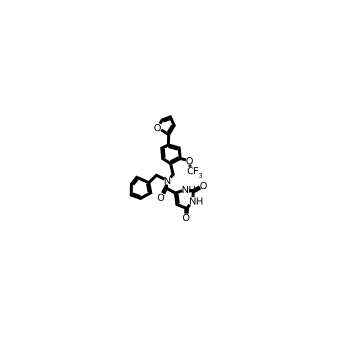 O=C(c1cc(=O)[nH]c(=O)[nH]1)N(Cc1ccccc1)Cc1ccc(-c2ccco2)cc1OC(F)(F)F